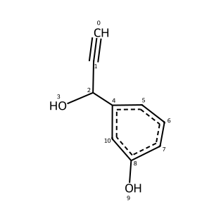 C#CC(O)c1cccc(O)c1